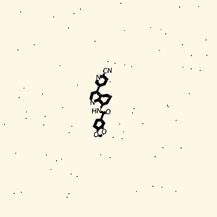 N#Cc1ccc(-c2ccnc3c(NC(=O)c4ccc5c(c4)OCO5)cccc23)cn1